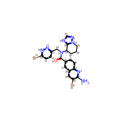 Nc1nc2ccc(C(=O)N(Cc3ccc(Br)nn3)C3CCCn4ncnc43)cc2cc1Br